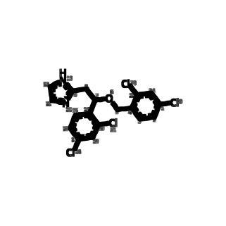 Clc1ccc(COC(Cc2ncc[nH]2)c2ccc(Cl)cc2Cl)c(Cl)c1